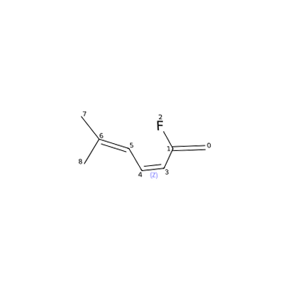 C=C(F)/C=C\C=C(C)C